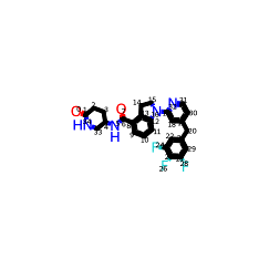 O=C1CCC(NC(=O)c2cccc3c2CCN3c2cc(Cc3cc(F)c(F)c(F)c3)ccn2)CN1